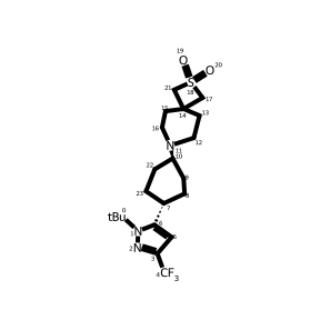 CC(C)(C)n1nc(C(F)(F)F)cc1[C@H]1CC[C@H](N2CCC3(CC2)CS(=O)(=O)C3)CC1